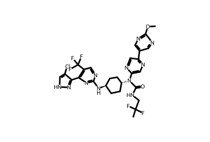 COc1ncc(-c2cnc(N(C(=O)NCC(C)(F)F)[C@H]3CC[C@H](Nc4ncc(C(F)(F)F)c(-c5n[nH]cc5Cl)n4)CC3)cn2)cn1